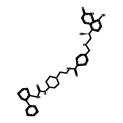 O=C(Nc1ccccc1-c1ccccc1)NC1CCN(CCNC(=O)c2ccc(CNC[C@H](O)c3ccc(O)c4[nH]c(=O)ccc34)cc2)CC1